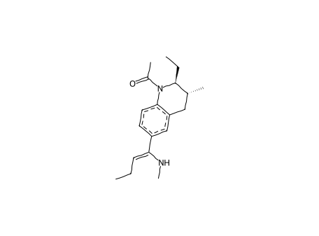 CC/C=C(\NC)c1ccc2c(c1)C[C@@H](C)[C@H](CC)N2C(C)=O